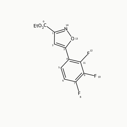 CCOC(=O)c1cc(-c2ccc(F)c(F)c2F)on1